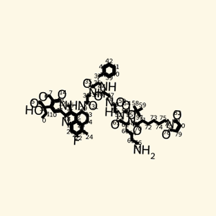 CC[C@@]1(O)C(=O)OCc2c1cc1n(c2=O)Cc2c-1nc1cc(F)c(C)c3c1c2[C@@H](NC(=O)CNC(=O)[C@H](Cc1ccccc1)NC(=O)CNC(=O)CN(C(=O)OC(C)(C)C)C(=O)[C@H](CCCCN)NC(=O)CCCCCN1C(=O)C=CC1=O)CC3